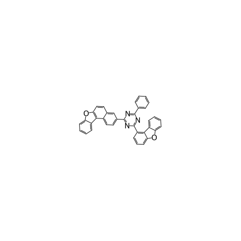 c1ccc(-c2nc(-c3ccc4c(ccc5oc6ccccc6c54)c3)nc(-c3cccc4oc5ccccc5c34)n2)cc1